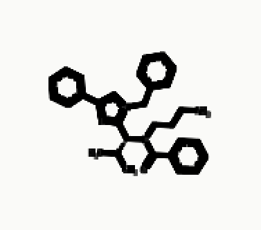 CC(C)[C@H](c1nc(-c2ccccc2)cn1Cc1ccccc1)N(CCCN)C(=O)c1ccccc1